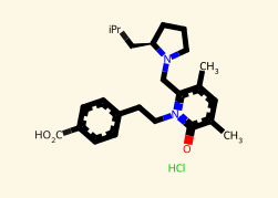 Cc1cc(C)c(=O)n(CCc2ccc(C(=O)O)cc2)c1CN1CCC[C@@H]1CC(C)C.Cl